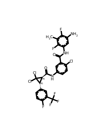 Cc1c(F)c(N)cc(NC(=O)c2cc(NC(=O)[C@H]3[C@H](c4ccc(F)c(C(F)(F)F)c4)C3(Cl)Cl)ccc2Cl)c1F